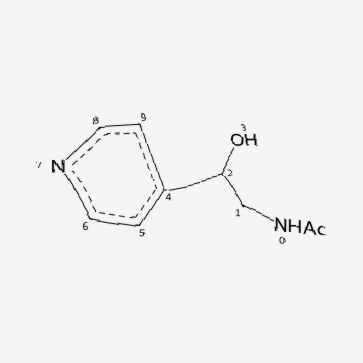 CC(=O)NCC(O)c1ccncc1